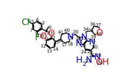 CC1(c2ccc(Cl)cc2F)Oc2cccc(C3CCN(Cc4nc5cc(/C(N)=N/O)cnc5n4C[C@H]4CCOC4)CC3)c2O1